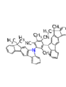 Cc1c(C#N)c(C2c3ccccc3-c3cc4c(cc32)C(C)(C)c2ccccc2-4)c(C)c(-n2c3ccccc3c3cc4c(cc32)C(C)(C)c2ccccc2-4)c1C#N